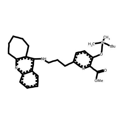 COC(=O)c1nc(CCCNc2c3c(nc4ccccc24)CCCCC3)ccc1O[Si](C)(C)C(C)(C)C